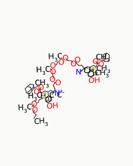 [C-]#[N+]C(C)(CCC(=O)OCCOC(C)OCCOC(C)OCCOC(=O)CCC(C)(C#N)CC(CC(C)(SC)C(=O)OC1(CC)C2CC3CC(C2)CC1C3)c1ccc(O)cc1)CC(CC(C)(SCCCOC(C)OCCCC)C(=O)OC1(CC)C2CC3CC(C2)CC1C3)c1ccc(O)cc1